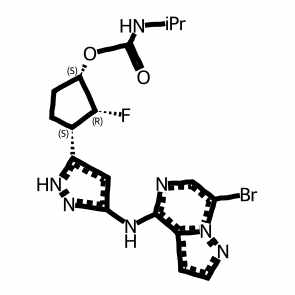 CC(C)NC(=O)O[C@H]1CC[C@@H](c2cc(Nc3ncc(Br)n4nccc34)n[nH]2)[C@H]1F